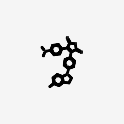 Cc1ccc2c(c1)CCN2c1ccc(C2=C(c3ccc(N(C)C)cc3)C(=O)OC2=O)cc1